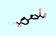 BCC(=O)c1ccc(-c2ccc(C(=O)CBr)cc2)cc1